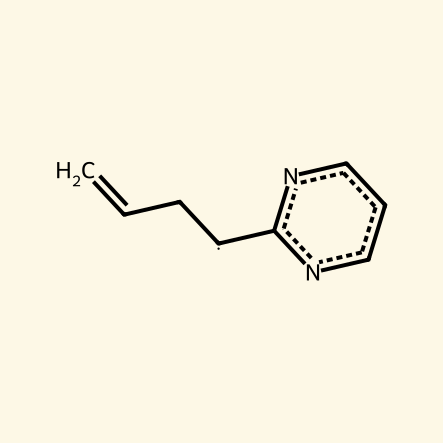 C=CC[CH]c1ncccn1